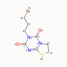 O=c1nc2n(c(=O)n1CCCBr)CCS2